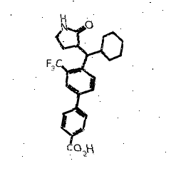 O=C(O)c1ccc(-c2ccc(C(C3CCCCC3)C3CCNC3=O)c(C(F)(F)F)c2)cc1